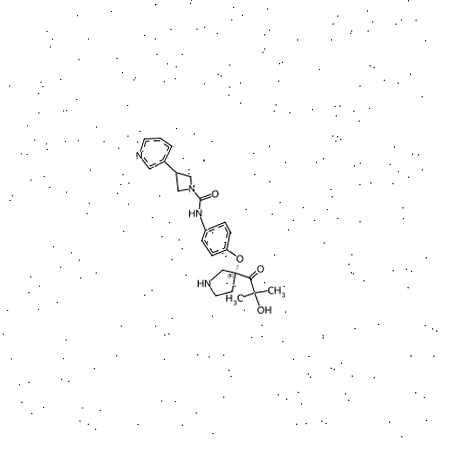 CC(C)(O)C(=O)[C@@]1(Oc2ccc(NC(=O)N3CC(c4cccnc4)C3)cc2)CCNC1